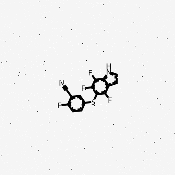 N#Cc1cc(Sc2c(F)c(F)c3[nH]ccc3c2F)ccc1F